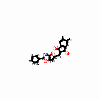 Cc1cc2c(cc1C)C(=O)C(=Cc1cc3oc(-c4ccccc4)nc3o1)C2=O